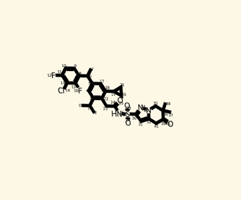 CC(C)c1cc(C(C)c2ccc(F)c(Cl)c2F)cc(C2CC2)c1CC(=O)NS(=O)(=O)c1cc2n(n1)CC(C)(C)C(=O)C2